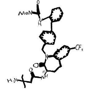 CNC(=O)Nc1ccccc1-c1ccc(CN2C(=O)[C@H](NC(=O)CC(C)(C)N)CCc3cc(C(F)(F)F)ccc32)cc1